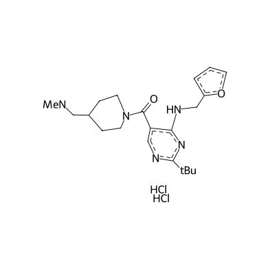 CNCC1CCN(C(=O)c2cnc(C(C)(C)C)nc2NCc2ccco2)CC1.Cl.Cl